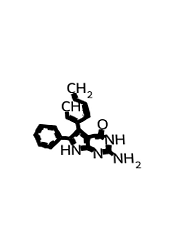 C=C/C=C\C(=C/C)c1c(-c2ccccc2)[nH]c2nc(N)[nH]c(=O)c12